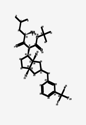 CC(C)C[C@H](N)C(=O)N(C(=O)OC(C)(C)C)[C@@H]1CC[C@H]2CN(Cc3cccc(C(F)(F)F)c3)C[C@H]21